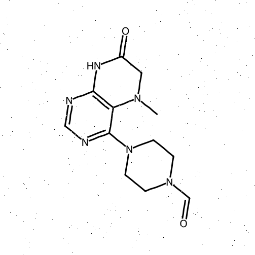 CN1CC(=O)Nc2ncnc(N3CCN(C=O)CC3)c21